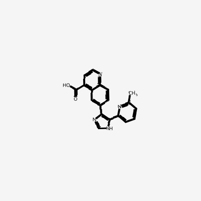 Cc1cccc(-c2[nH]cnc2-c2ccc3nccc(C(=O)O)c3c2)n1